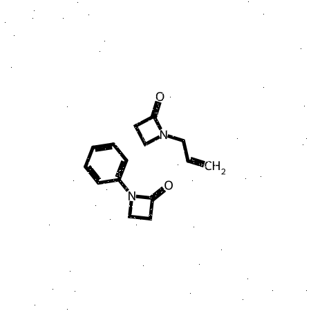 C=CCN1CCC1=O.O=C1CCN1c1ccccc1